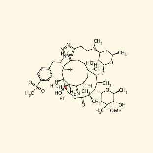 C=C1CC[C@@H]2[C@@H](C)C(=N)[C@H](C)C[C@@](C)(CC1)[C@H](O[C@@H]1O[C@H](C)C[C@H](N(C)CCc3cn([C@H](CF)Cc4ccc(S(C)(=O)=O)cc4)nn3)[C@H]1O)[C@@H](C)[C@H](C1C[C@@](C)(OC)[C@@H](O)[C@H](C)O1)[C@@H](C)C(=O)O[C@H](CC)[C@@]2(C)O